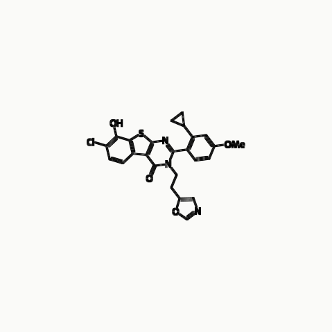 COc1ccc(-c2nc3sc4c(O)c(Cl)ccc4c3c(=O)n2CCc2cnco2)c(C2CC2)c1